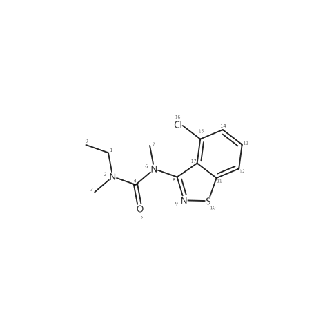 CCN(C)C(=O)N(C)c1nsc2cccc(Cl)c12